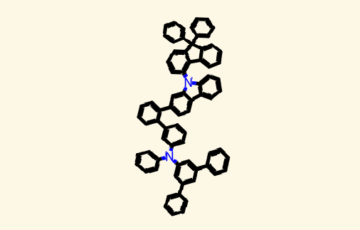 c1ccc(-c2cc(-c3ccccc3)cc(N(c3ccccc3)c3cccc(-c4ccccc4-c4ccc5c6ccccc6n(-c6cccc7c6-c6ccccc6C7(c6ccccc6)c6ccccc6)c5c4)c3)c2)cc1